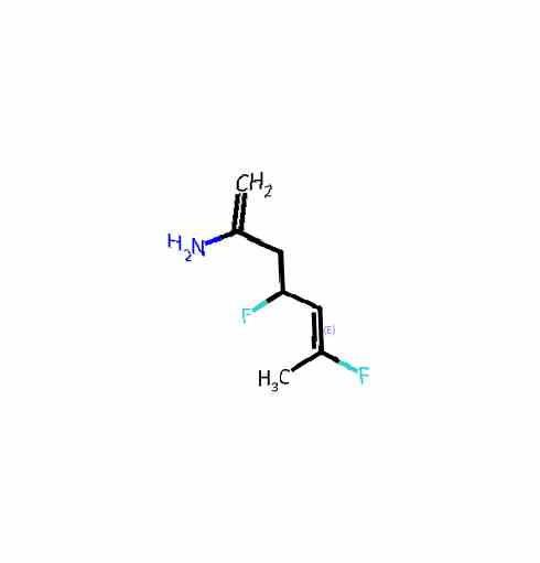 C=C(N)CC(F)/C=C(\C)F